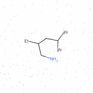 CCC(CN)CC(C(C)C)C(C)C